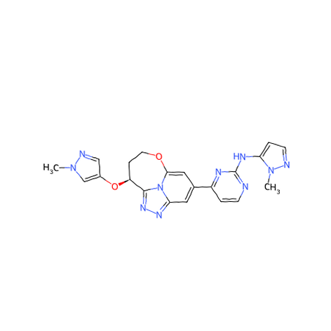 Cn1cc(O[C@H]2CCOc3cc(-c4ccnc(Nc5ccnn5C)n4)cc4nnc2n34)cn1